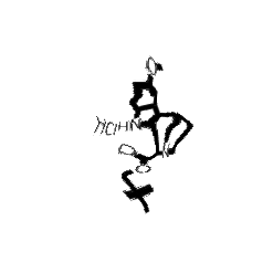 COc1ccc2[nH]c3c(c2c1)C1CCN(C1)C3C(=O)OCC(C)(C)C.Cl